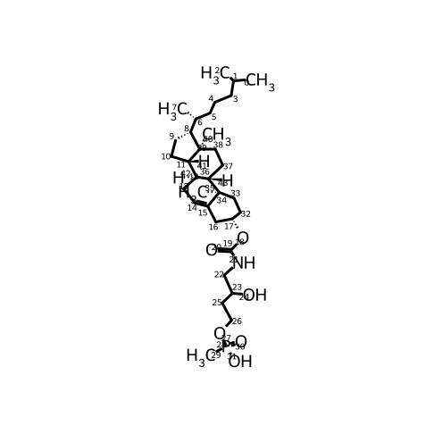 CC(C)CCC[C@@H](C)[C@H]1CC[C@H]2[C@@H]3CC=C4C[C@@H](OC(=O)NCC(O)CCOP(C)(=O)O)CC[C@]4(C)[C@H]3CC[C@]12C